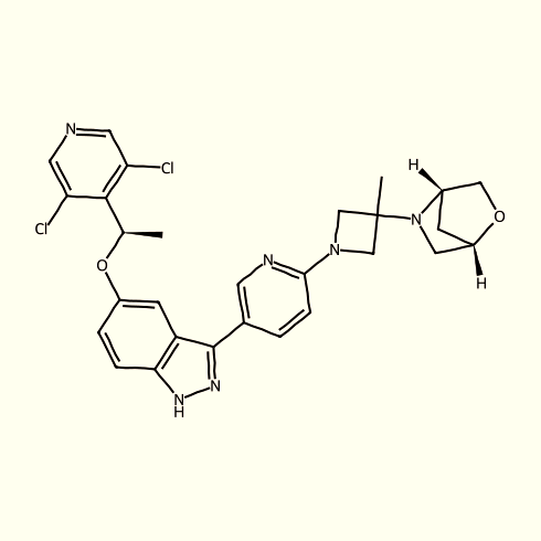 C[C@@H](Oc1ccc2[nH]nc(-c3ccc(N4CC(C)(N5C[C@@H]6C[C@H]5CO6)C4)nc3)c2c1)c1c(Cl)cncc1Cl